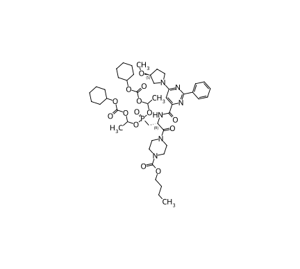 CCCCOC(=O)N1CCN(C(=O)[C@H](CP(=O)(OC(C)OC(=O)OC2CCCCC2)OC(C)OC(=O)OC2CCCCC2)NC(=O)c2cc(N3CC[C@H](OC)C3)nc(-c3ccccc3)n2)CC1